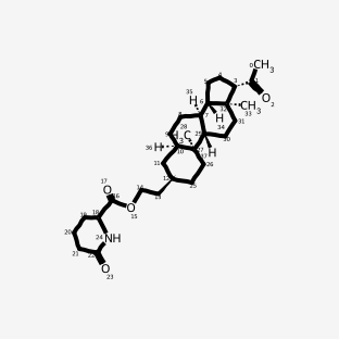 CC(=O)[C@H]1CC[C@H]2[C@@H]3CC[C@@H]4C[C@H](CCOC(=O)C5CCCC(=O)N5)CC[C@]4(C)[C@H]3CC[C@]12C